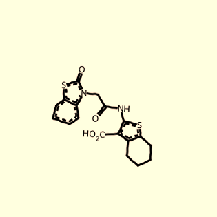 O=C(Cn1c(=O)sc2ccccc21)Nc1sc2c(c1C(=O)O)CCCC2